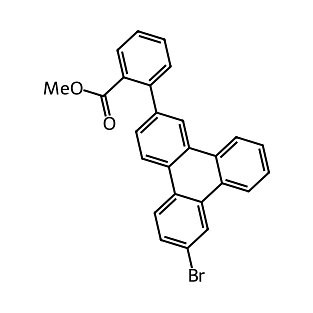 COC(=O)c1ccccc1-c1ccc2c3ccc(Br)cc3c3ccccc3c2c1